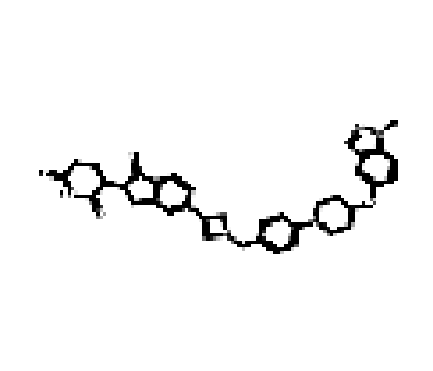 Cn1ncc2cc(OC3CCN(c4ccc(CN5CC(c6ccc7c(c6)CN(C6CCC(=O)NC6=O)C7=O)C5)cc4)CC3)ccc21